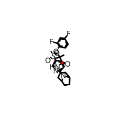 CC(C)(Oc1ccc(F)cc1F)C(=O)NC1CC2CCC(C1)N2c1ccc(S(C)(=O)=O)cn1